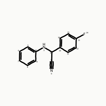 N#CC(Nc1ccccc1)c1ccc(F)cc1